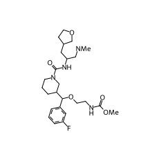 CNCC(CC1CCOC1)NC(=O)N1CCCC(C(OCCNC(=O)OC)c2cccc(F)c2)C1